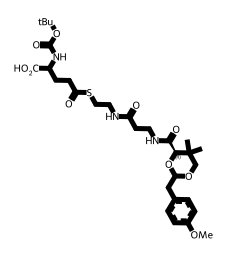 COc1ccc(CC2OCC(C)(C)[C@H](C(=O)NCCC(=O)NCCSC(=O)CCC(NC(=O)OC(C)(C)C)C(=O)O)O2)cc1